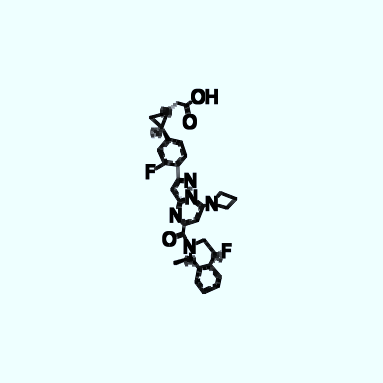 C[C@@H]1c2ccccc2[C@@H](F)CN1C(=O)c1cc(N2CCC2)n2nc(-c3ccc([C@H]4C[C@@H]4CC(=O)O)cc3F)cc2n1